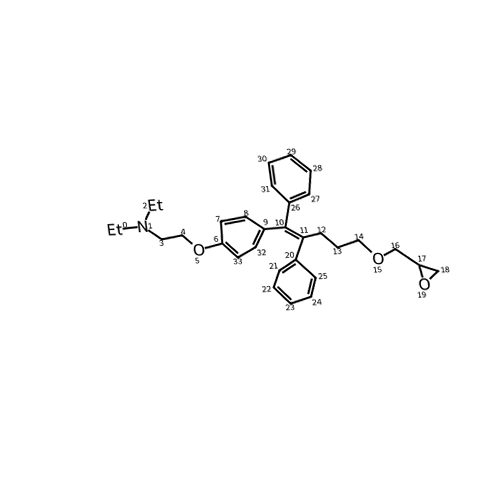 CCN(CC)CCOc1ccc(C(=C(CCCOCC2CO2)c2ccccc2)c2ccccc2)cc1